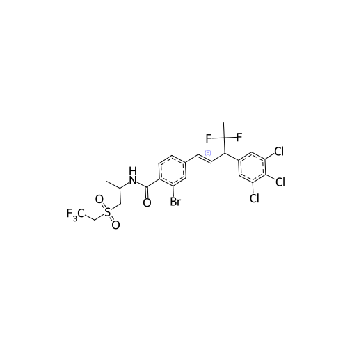 CC(CS(=O)(=O)CC(F)(F)F)NC(=O)c1ccc(/C=C/C(c2cc(Cl)c(Cl)c(Cl)c2)C(C)(F)F)cc1Br